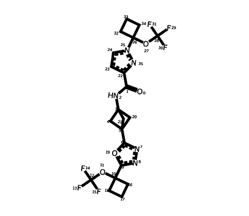 O=C(NC12CC(c3nnc(C4(OC(F)(F)F)CCC4)o3)(C1)C2)c1ccn(C2(OC(F)(F)F)CCC2)n1